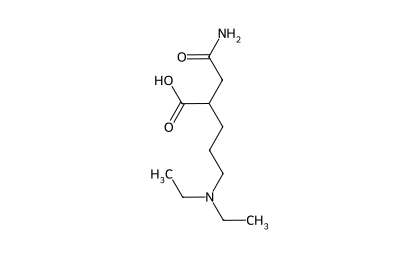 CCN(CC)CCCC(CC(N)=O)C(=O)O